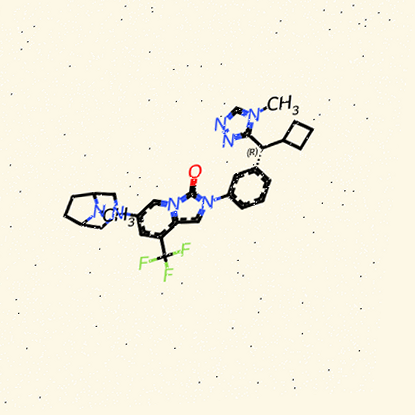 CN1C2CCC1CN(c1cc(C(F)(F)F)c3cn(-c4cccc([C@H](c5nncn5C)C5CCC5)c4)c(=O)n3c1)C2